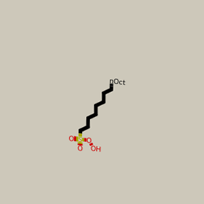 CCCCCCCCCCCCCCCCS(=O)(=O)OO